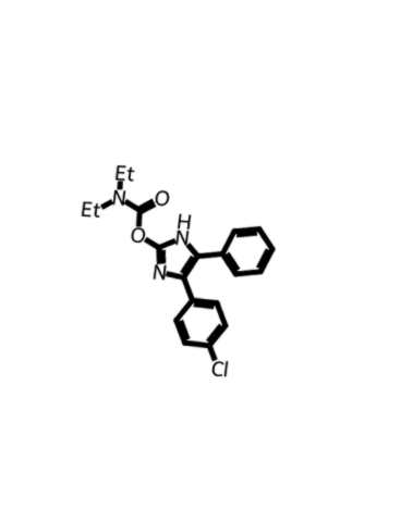 CCN(CC)C(=O)Oc1nc(-c2ccc(Cl)cc2)c(-c2ccccc2)[nH]1